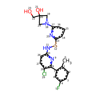 Cc1ccc(F)cc1-c1nc(NSc2cccc(N3CC(O)(CO)C3)n2)ccc1Cl